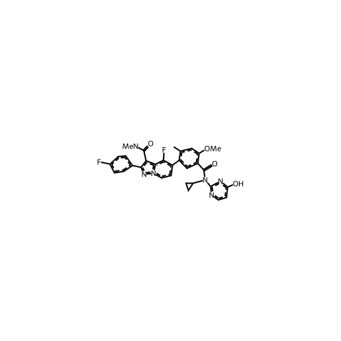 CNC(=O)c1c(-c2ccc(F)cc2)nn2ccc(-c3cc(C(=O)N(c4nccc(O)n4)C4CC4)c(OC)cc3C)c(F)c12